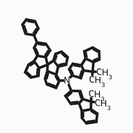 CC1(C)c2ccccc2-c2ccc(N(c3ccc4c(c3)C(C)(C)c3ccccc3-4)c3cccc4c3-c3ccccc3C43c4ccccc4-c4cc(-c5ccccc5)ccc43)cc21